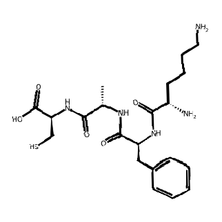 C[C@H](NC(=O)[C@H](Cc1ccccc1)NC(=O)[C@@H](N)CCCCN)C(=O)N[C@@H](CS)C(=O)O